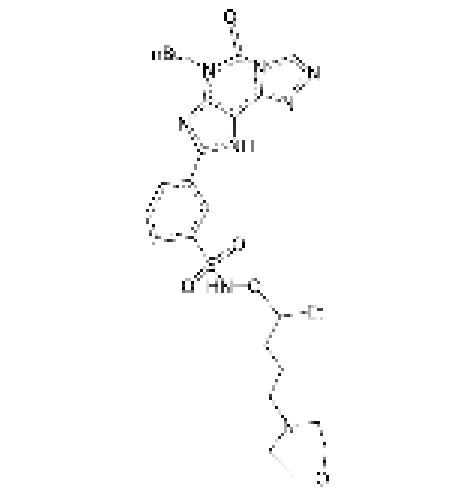 CCCCn1c(=O)n2cnnc2c2[nH]c(-c3cccc(S(=O)(=O)NOC(CC)CCCN4CCOCC4)c3)nc21